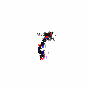 COc1ccc([C@]2(CCN(CC(C)(C)C(F)(F)F)C[C@H]3CC[C@H](c4ccc(NC(=O)C5CC(Nc6ccc7c(c6)n(C)c(=O)n7C6CCC(=O)NC6=O)C5)cc4)CC3)CCOC(C)(C)C2)cc1